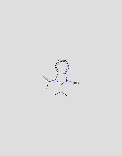 CC(C)C1[N]([RaH])c2ncccc2N1C(C)C